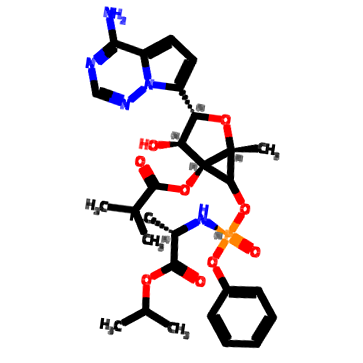 CC(C)OC(=O)[C@H](C)N[P@@](=O)(Oc1ccccc1)OC1[C@@]2(C)O[C@@H](c3ccc4c(N)ncnn34)[C@H](O)[C@@]12OC(=O)C(C)C